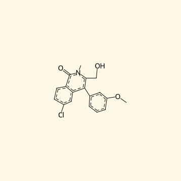 COc1cccc(-c2c(CO)n(C)c(=O)c3ccc(Cl)cc23)c1